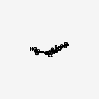 C=CC(=O)OCCOc1ccc2c(c1)C(F)c1cc(OC(=O)c3ccc(OCCCCCCOC(=O)C(=C)CO)c(CC)c3)ccc1-2